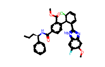 CCC[C@@H](NC(=O)c1ccc(C2C(c3nc4cc(OC)c(F)cc4[nH]3)=CC=C[C@@H]2Cl)c(C(=O)OC)c1)c1ccccc1